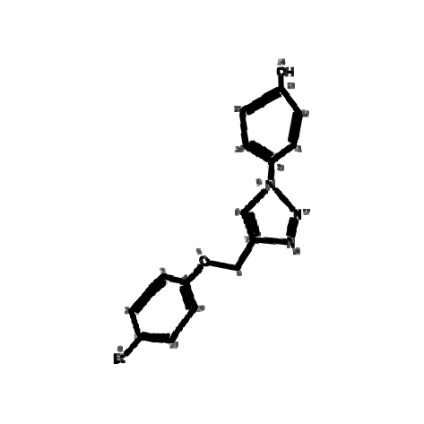 CCc1ccc(OCc2cn(-c3ccc(O)cc3)nn2)cc1